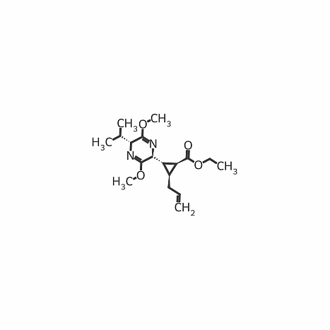 C=CC[C@@H]1[C@H](C(=O)OCC)[C@H]1[C@@H]1N=C(OC)[C@@H](C(C)C)N=C1OC